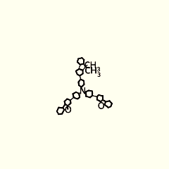 CC1(C)c2ccccc2-c2ccc(-c3ccc(N(c4ccc(-c5ccc6c(c5)oc5ccccc56)cc4)c4ccc(-c5ccc6c(c5)oc5ccccc56)cc4)cc3)cc21